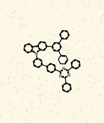 C1=CCCC(c2cc(-c3ccccc3)cc(-c3ccc4c5ccccc5n(-c5cccc(-c6ccc(-c7nc(-c8ccccc8)nc(-c8ccccc8)n7)cc6)c5)c4c3)c2)=C1